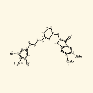 COc1cc2c(cc1OC)C(=O)N(CC1CCCN(CCCOc3cc(Br)c(N)c(Br)c3)C1)C2